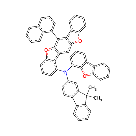 CC1(C)c2ccccc2-c2ccc(N(c3cccc4c3oc3ccccc34)c3cccc4oc5c(-c6cccc7ccccc67)c6c(cc5c34)oc3ccccc36)cc21